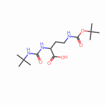 CC(C)(C)NC(=O)NC(CCNC(=O)OC(C)(C)C)C(=O)O